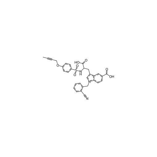 CC#CCOc1ccc(S(=O)(=O)NC(Cc2cn(Cc3ccccc3C#N)c3ccc(C(=O)O)cc23)C(=O)O)cc1